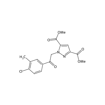 COC(=O)c1cc(C(=O)OC)n(CC(=O)c2ccc(Cl)c(C)c2)n1